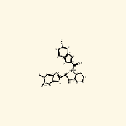 CN1CC2N=C(C(=O)N[C@@H]3CCCC[C@@H]3NC(=O)c3cc4cc(Cl)ccc4[nH]3)SC2CN1C